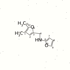 Cc1cc(CNc2ccco2)oc1C